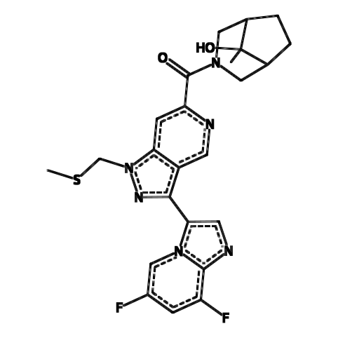 CSCn1nc(-c2cnc3c(F)cc(F)cn23)c2cnc(C(=O)N3CC4CCC(C3)C4(C)O)cc21